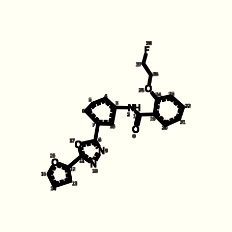 O=C(Nc1cccc(-c2nnc(-c3ccco3)o2)c1)c1ccccc1OCCF